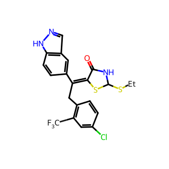 CCSC1NC(=O)C(=C(Cc2ccc(Cl)cc2C(F)(F)F)c2ccc3[nH]ncc3c2)S1